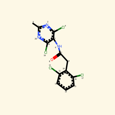 Cc1nc(Cl)c(NC(=O)Cc2c(Cl)cccc2Cl)c(Cl)n1